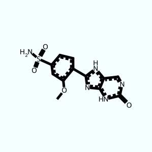 COc1cc(S(N)(=O)=O)ccc1-c1nc2[nH]c(=O)ncc2[nH]1